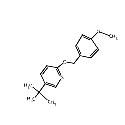 COc1ccc(COc2ccc(C(C)(C)C)cn2)cc1